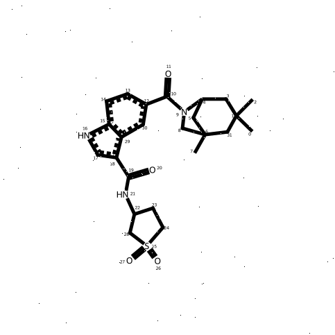 CC1(C)CC2CC(C)(CN2C(=O)c2ccc3[nH]cc(C(=O)NC4CCS(=O)(=O)C4)c3c2)C1